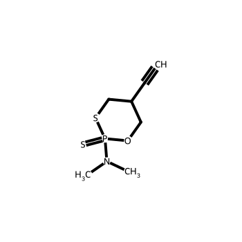 C#CC1COP(=S)(N(C)C)SC1